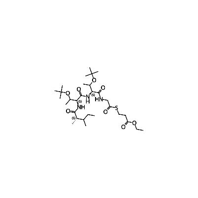 CCOC(=O)CCSC(=O)CNC(=O)[C@@H](NC(=O)[C@@H](NC(=O)[C@@H](C)C(C)CC)C(C)OC(C)(C)C)C(C)OC(C)(C)C